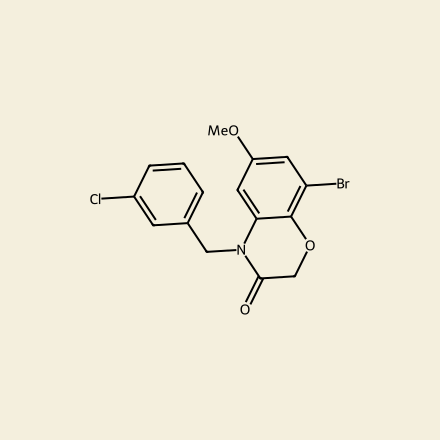 COc1cc(Br)c2c(c1)N(Cc1cccc(Cl)c1)C(=O)CO2